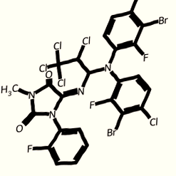 CN1C(=O)C(=NC(C(Cl)C(Cl)(Cl)Cl)N(c2ccc(Cl)c(Br)c2F)c2ccc(Cl)c(Br)c2F)N(c2ccccc2F)C1=O